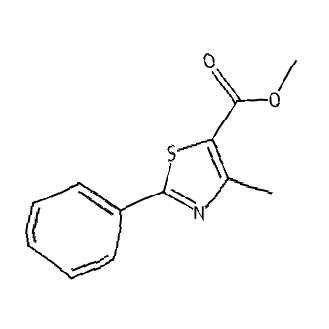 COC(=O)c1sc(-c2ccccc2)nc1C